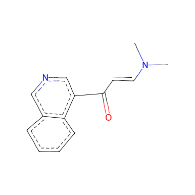 CN(C)C=CC(=O)c1cncc2ccccc12